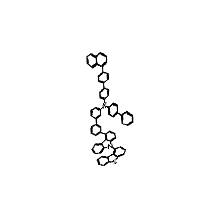 c1ccc(-c2ccc(N(c3ccc(-c4ccc(-c5cccc6ccccc56)cc4)cc3)c3cccc(-c4cccc(-c5cccc6c5c5ccccc5n6-c5cccc6sc7ccccc7c56)c4)c3)cc2)cc1